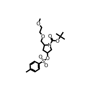 COCCOCC1CC(OS(=O)(=O)c2ccc(C)cc2)CN1C(=O)OC(C)(C)C